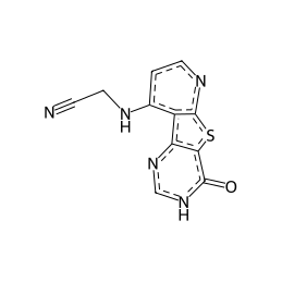 N#CCNc1ccnc2sc3c(=O)[nH]cnc3c12